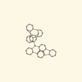 Cc1c(N(c2ccc3c(c2)-c2c4cccc2-c2cccc-3c2-c2ccccc2-4)c2ccccc2-c2ccccc2)ccc2c1Cc1ccccc1-2